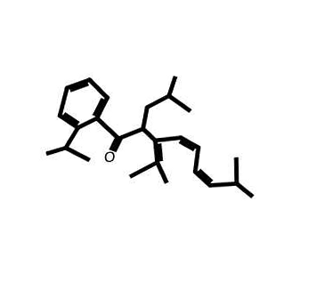 CC(C)=C(/C=C\C=C/C(C)C)C(CC(C)C)C(=O)c1ccccc1C(C)C